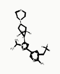 CC(C)n1nc(-c2cnc(N)c(CC(F)(F)F)c2)cc1[C@H]1[C@@H]2C[C@@H](N3CCOCC3)C[C@@H]21